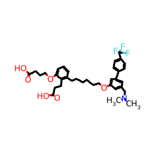 CN(C)Cc1cc(OCCCCCCc2cccc(OCCCC(=O)O)c2CCC(=O)O)cc(-c2ccc(C(F)(F)F)cc2)c1